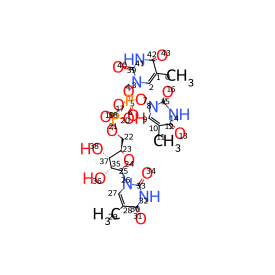 Cc1cn(OP(=O)(On2cc(C)c(=O)[nH]c2=O)OP(=O)(O)OC[C@H]2O[C@@H](n3cc(C)c(=O)[nH]c3=O)[C@H](O)[C@@H]2O)c(=O)[nH]c1=O